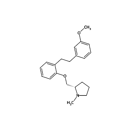 COc1cccc(CCc2ccccc2OC[C@@H]2CCCN2C)c1